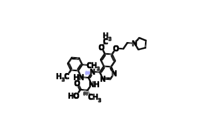 COc1cc2c(/N=C(/Nc3c(C)cccc3C)N[C@H](C)C(=O)O)ncnc2cc1OCCN1CCCC1